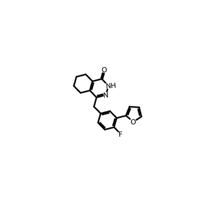 O=c1[nH]nc(Cc2ccc(F)c(-c3ccco3)c2)c2c1CCCC2